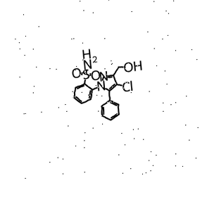 NS(=O)(=O)c1ccccc1-n1nc(CO)c(Cl)c1-c1ccccc1